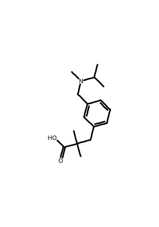 CC(C)N(C)Cc1cccc(CC(C)(C)C(=O)O)c1